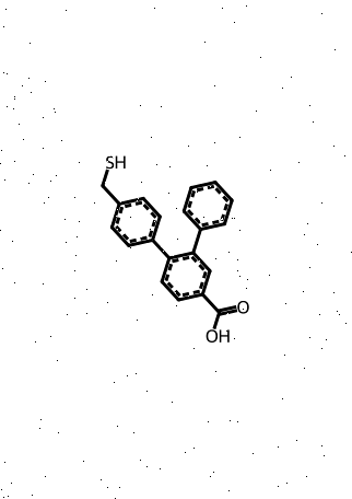 O=C(O)c1ccc(-c2ccc(CS)cc2)c(-c2ccccc2)c1